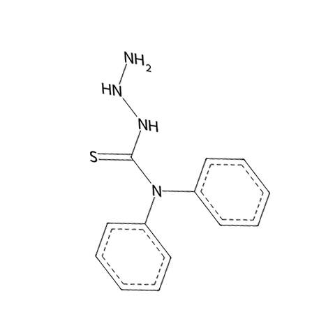 NNNC(=S)N(c1ccccc1)c1ccccc1